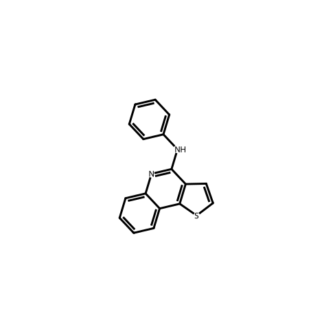 c1ccc(Nc2nc3ccccc3c3sccc23)cc1